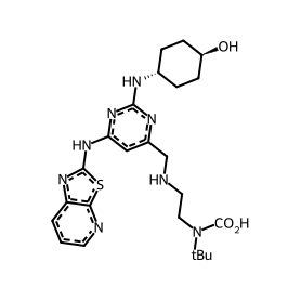 CC(C)(C)N(CCNCc1cc(Nc2nc3cccnc3s2)nc(N[C@H]2CC[C@H](O)CC2)n1)C(=O)O